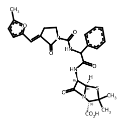 Cc1ccc(C=C2CCN(C(=O)NC(C(=O)N[C@@H]3C(=O)N4[C@@H]3SC(C)(C)[C@@H]4C(=O)O)c3ccccc3)C2=O)o1